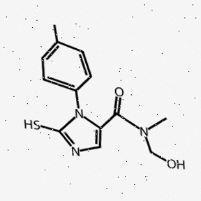 Cc1ccc(-n2c(C(=O)N(C)CO)cnc2S)cc1